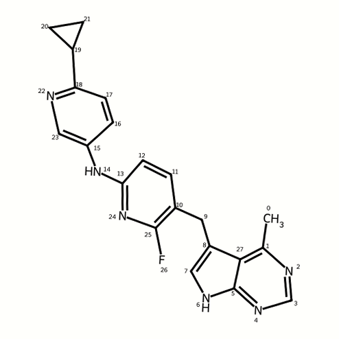 Cc1ncnc2[nH]cc(Cc3ccc(Nc4ccc(C5CC5)nc4)nc3F)c12